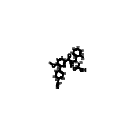 COc1ccc(C(=O)N[C@@H](CC(=O)O)c2ccccc2C)nc1-c1ccc(C#N)cc1